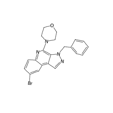 Brc1ccc2nc(N3CCOCC3)c3c(cnn3Cc3ccccc3)c2c1